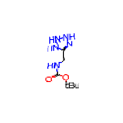 CC(C)(C)OC(=O)NCC1=NNNN1